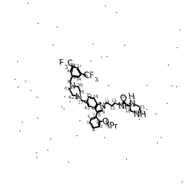 CC(C)Oc1ccccc1-c1cn(CCCNC(=O)C2CNCCN2)c2ccc(CN3CCN(Cc4cc(C(F)(F)F)cc(C(F)(F)F)c4)CC3)cc12